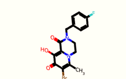 Cc1c(Br)c(=O)c(O)c2n1CCN(Cc1ccc(F)cc1)C2=O